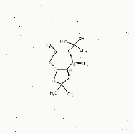 COC[C@H]1OC(C)(C)O[C@@H]1[C@H](C)OC(C)(C)O